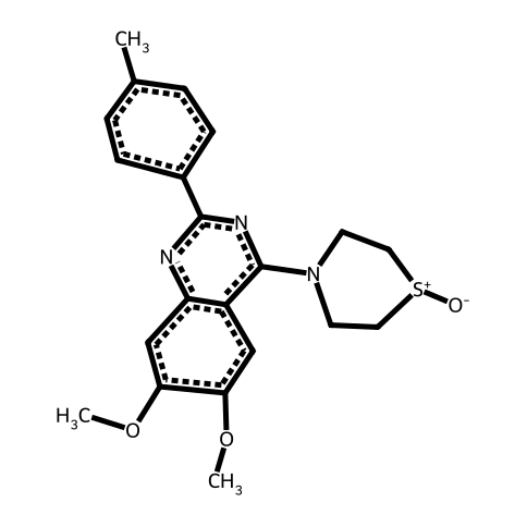 COc1cc2nc(-c3ccc(C)cc3)nc(N3CC[S+]([O-])CC3)c2cc1OC